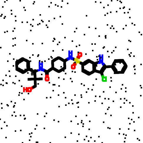 CC(C)(CO)[C@@H](NC(=O)C1CCC(NS(=O)(=O)c2ccc3c(Cl)c(-c4ccccc4)[nH]c3c2)CC1)c1ccccc1